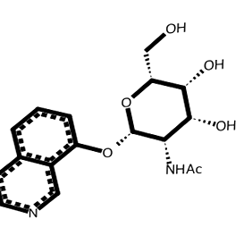 CC(=O)N[C@@H]1[C@H](Oc2cccc3ccncc23)O[C@H](CO)[C@H](O)[C@@H]1O